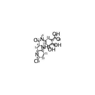 CN(C(=O)c1cc2nc(Cl)ccc2[nH]1)c1cc(O)c(O)c(C(=O)O)c1